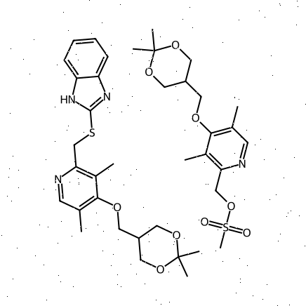 Cc1cnc(COS(C)(=O)=O)c(C)c1OCC1COC(C)(C)OC1.Cc1cnc(CSc2nc3ccccc3[nH]2)c(C)c1OCC1COC(C)(C)OC1